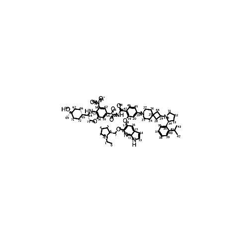 CCN1CCC[C@H]1COc1nc2[nH]ccc2cc1Oc1cc(N2CCC3(CC2)CC(N2CCC[C@H]2c2ccccc2C(C)C)C3)ccc1C(=O)NS(=O)(=O)c1cc2c(c([N+](=O)[O-])c1)N[C@@H]([C@H]1CC[C@](C)(O)CC1)CO2